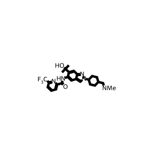 CNCC1CCC(n2cc3cc(NC(=O)c4cccc(C(F)(F)F)n4)c(C(C)(C)O)cc3n2)CC1